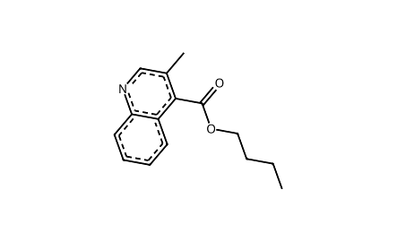 CCCCOC(=O)c1c(C)cnc2ccccc12